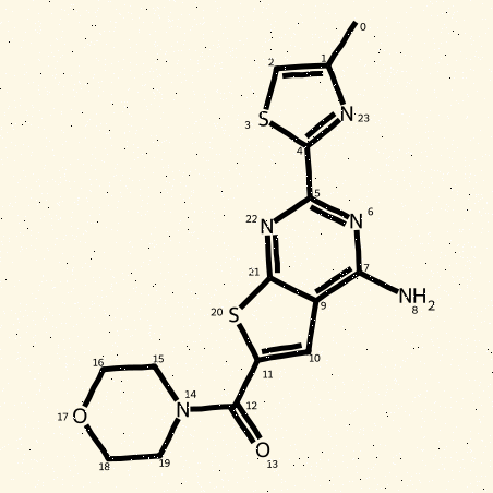 Cc1csc(-c2nc(N)c3cc(C(=O)N4CCOCC4)sc3n2)n1